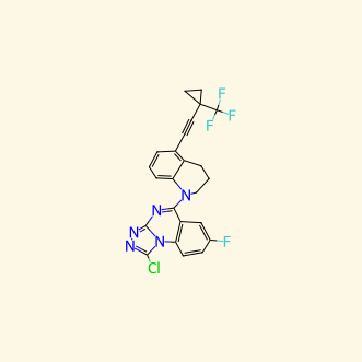 Fc1ccc2c(c1)c(N1CCCc3c(C#CC4(C(F)(F)F)CC4)cccc31)nc1nnc(Cl)n12